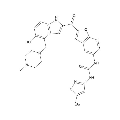 CN1CCN(Cc2c(O)ccc3[nH]c(C(=O)c4cc5cc(NC(=O)Nc6cc(C(C)(C)C)on6)ccc5o4)cc23)CC1